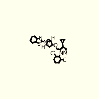 Clc1cccc(Cl)c1-n1ncc(C2CC2)c1CO[C@@H]1C[C@@H]2C[C@H]1CN2c1nc2ccccc2s1